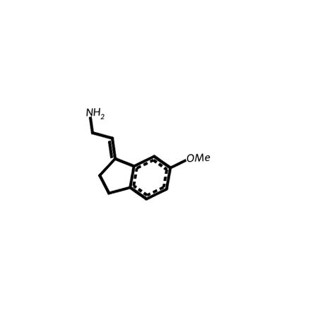 COc1ccc2c(c1)/C(=C/CN)CC2